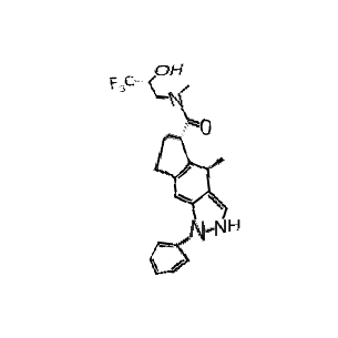 C[C@H]1C2=CNN(c3ccccc3)C2=CC2=C1[C@@H](C(=O)N(C)C[C@@H](O)C(F)(F)F)CC2